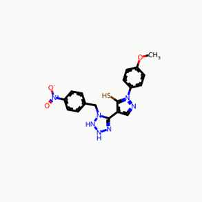 COc1ccc(-n2ncc(C3=NNNN3Cc3ccc([N+](=O)[O-])cc3)c2S)cc1